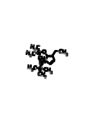 CCC1=C(O[Si](C)(C)C)[SiH](O[Si](C)(C)C)C=C1